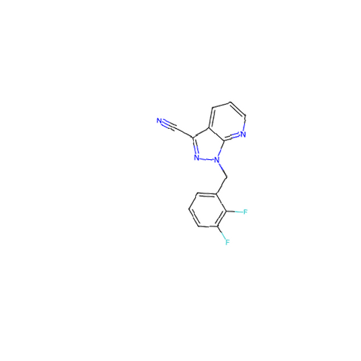 N#Cc1nn(Cc2cccc(F)c2F)c2ncccc12